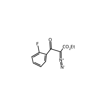 CCOC(=O)C(=[N+]=[N-])C(=O)c1ccccc1F